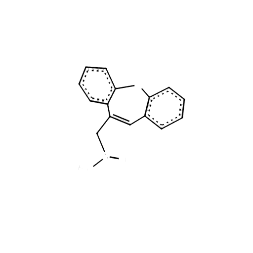 CN(C)CC1=Cc2ccccc2Oc2ccccc21